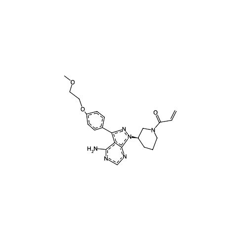 C=CC(=O)N1CCC[C@@H](n2nc(-c3ccc(OCCOC)cc3)c3c(N)ncnc32)C1